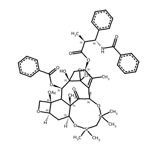 CC(=O)O[C@]12CO[C@@H]1C[C@@H]1O[Si](C)(C)C[Si](C)(C)O[C@H]3C(=O)[C@@]1(C)C2[C@@H](OC(=O)c1ccccc1)[C@]1(O)C[C@@H](OC(=O)[C@@H](C)[C@@H](NC(=O)c2ccccc2)c2ccccc2)C(C)=C3C1(C)C